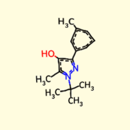 Cc1cccc(-c2nn(C(C)(C)C)c(C)c2O)c1